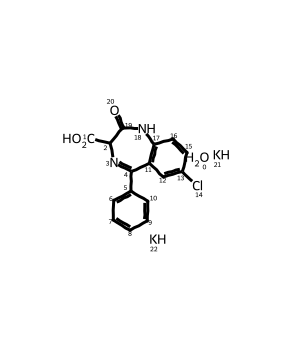 O.O=C(O)C1N=C(c2ccccc2)c2cc(Cl)ccc2NC1=O.[KH].[KH]